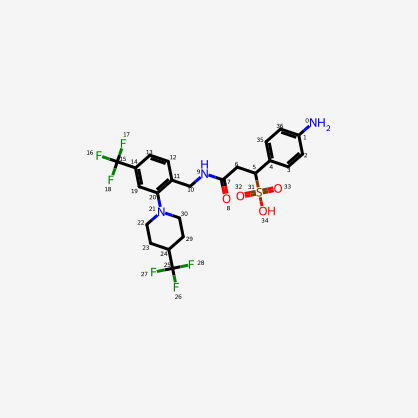 Nc1ccc(C(CC(=O)NCc2ccc(C(F)(F)F)cc2N2CCC(C(F)(F)F)CC2)S(=O)(=O)O)cc1